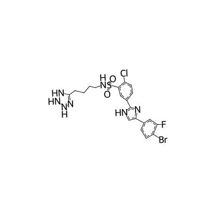 O=S(=O)(NCCCCC1=NNNN1)c1cc(-c2nc(-c3ccc(Br)c(F)c3)c[nH]2)ccc1Cl